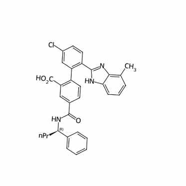 CCC[C@@H](NC(=O)c1ccc(-c2cc(Cl)ccc2-c2nc3c(C)cccc3[nH]2)c(C(=O)O)c1)c1ccccc1